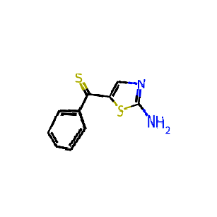 Nc1ncc(C(=S)c2ccccc2)s1